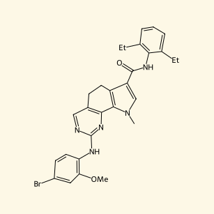 CCc1cccc(CC)c1NC(=O)c1cn(C)c2c1CCc1cnc(Nc3ccc(Br)cc3OC)nc1-2